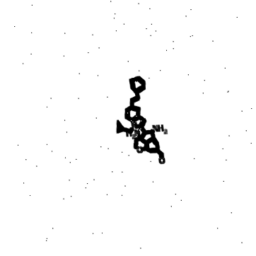 NC1c2cc(C=O)cc3c2C(N)(CCO3)C1c1cc2cc(C=Cc3ccccc3)ccc2n1CC1CC1